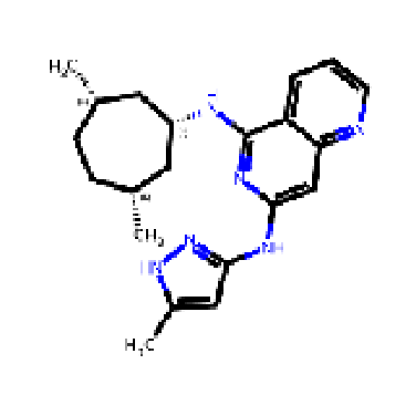 Cc1cc(Nc2cc3ncccc3c(N[C@@H]3C[C@H](C)CC[C@H](C)C3)n2)n[nH]1